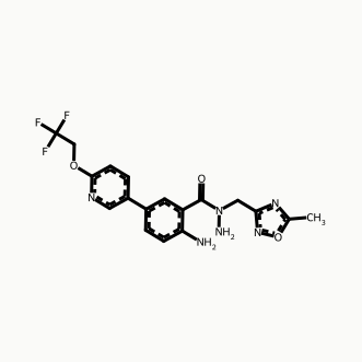 Cc1nc(CN(N)C(=O)c2cc(-c3ccc(OCC(F)(F)F)nc3)ccc2N)no1